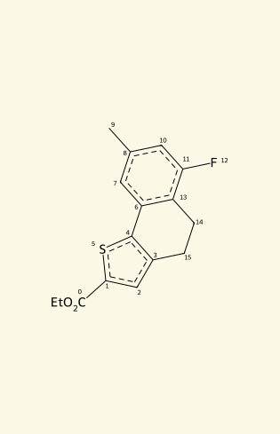 CCOC(=O)c1cc2c(s1)-c1cc(C)cc(F)c1CC2